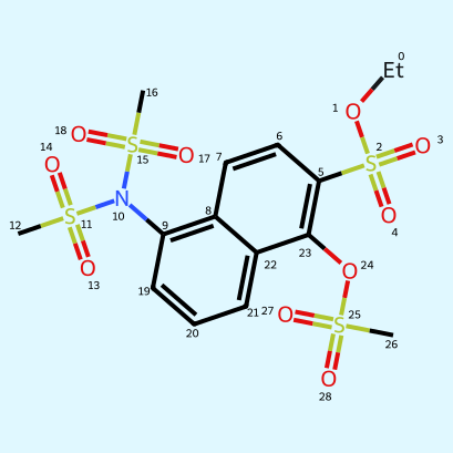 CCOS(=O)(=O)c1ccc2c(N(S(C)(=O)=O)S(C)(=O)=O)cccc2c1OS(C)(=O)=O